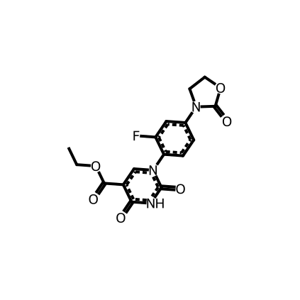 CCOC(=O)c1cn(-c2ccc(N3CCOC3=O)cc2F)c(=O)[nH]c1=O